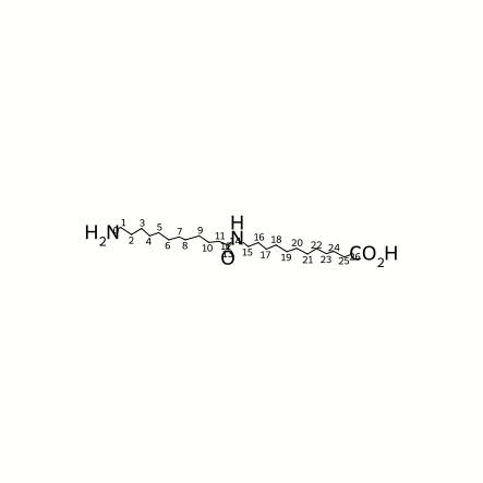 NCCCCCCCCCCCC(=O)NCCCCCCCCCCCC(=O)O